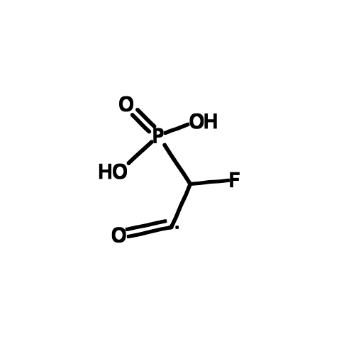 O=[C]C(F)P(=O)(O)O